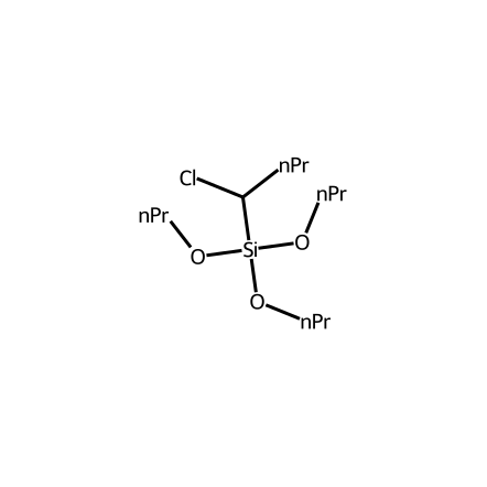 CCCO[Si](OCCC)(OCCC)C(Cl)CCC